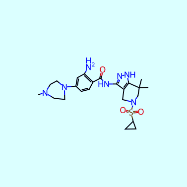 CN1CCN(c2ccc(C(=O)Nc3n[nH]c4c3CN(S(=O)(=O)C3CC3)CC4(C)C)c(N)c2)CC1